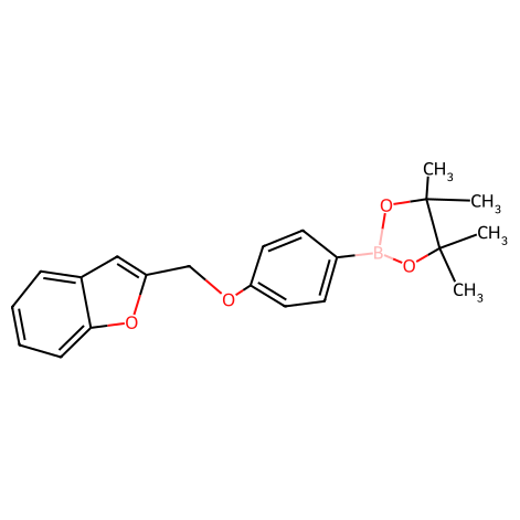 CC1(C)OB(c2ccc(OCc3cc4ccccc4o3)cc2)OC1(C)C